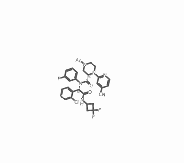 CC(=O)N1CCN(c2cc(C#N)ccn2)[C@H](C(=O)N(c2cccc(F)c2)[C@H](C(=O)NC2CC(F)(F)C2)c2ccccc2Cl)C1